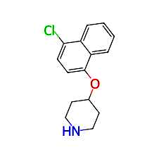 Clc1ccc(OC2CCNCC2)c2ccccc12